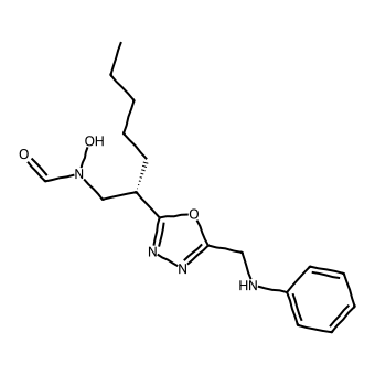 CCCCC[C@@H](CN(O)C=O)c1nnc(CNc2ccccc2)o1